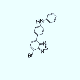 Brc1ccc(-c2ccc(Nc3ccccc3)cc2)c2nsnc12